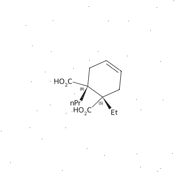 CCC[C@@]1(C(=O)O)CC=CC[C@]1(CC)C(=O)O